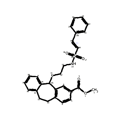 COC(=O)c1ccc2c(c1)C(SCCNS(=O)(=O)/C=C/c1ccccc1)c1ccccc1CC2